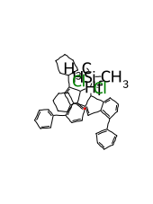 C[SiH](C)[Hf]([Cl])([Cl])([CH]1C(C2CCCCC2)=Cc2c(-c3ccccc3)cccc21)[CH]1C(C2CCCCC2)=Cc2c(-c3ccccc3)cccc21